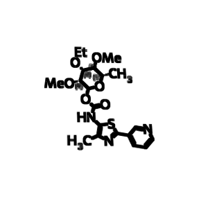 CCO[C@@H]1[C@@H](OC)[C@H](C)OC(OC(=O)Nc2sc(-c3cccnc3)nc2C)[C@@H]1OC